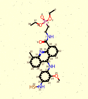 CCOP(=O)(CCNC(=O)c1cccc2c(Nc3ccc(NS)cc3OC)c3cccc(C)c3nc12)OCC